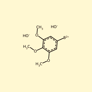 [B+2]c1cc(OC)c(OC)c(OC)c1.[OH-].[OH-]